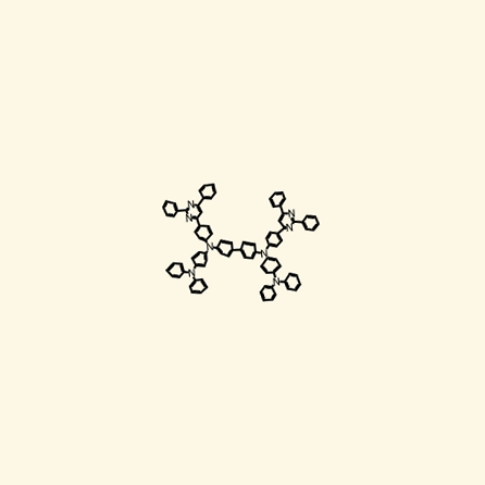 c1ccc(-c2cc(-c3ccc(N(c4ccc(-c5ccc(N(c6ccc(-c7cc(-c8ccccc8)nc(-c8ccccc8)n7)cc6)c6ccc(N(c7ccccc7)c7ccccc7)cc6)cc5)cc4)c4ccc(N(c5ccccc5)c5ccccc5)cc4)cc3)nc(-c3ccccc3)n2)cc1